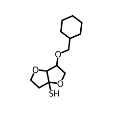 SC12CCOC1C(OCC1CCCCC1)CO2